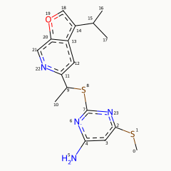 CSc1cc(N)nc(SC(C)c2cc3c(C(C)C)coc3cn2)n1